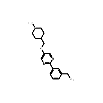 CCc1cccc(-c2ncc(OCC3CCN(C)CC3)cn2)c1